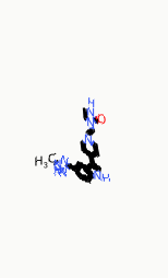 Cn1nnc(-c2ccc3[nH]cc(C4CCN(CCN5CCNC5=O)CC4)c3c2)n1